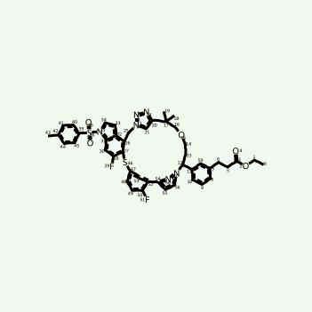 CCOC(=O)CCc1cccc(C2CCOCC(C)(C)c3cn(nn3)Cc3c(c(F)cc4c3ccn4S(=O)(=O)c3ccc(C)cc3)Sc3ccc(F)c(c3)-c3ccn2n3)c1